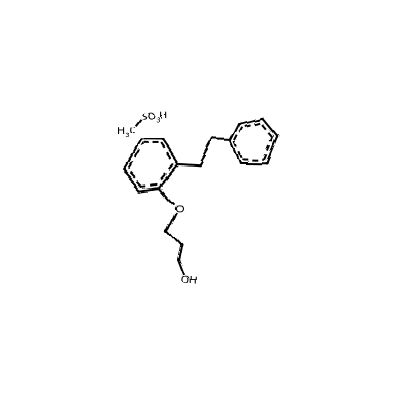 CS(=O)(=O)O.OCCCOc1ccccc1CCc1ccccc1